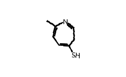 CC1=CC=C(S)CC=N1